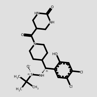 CC(C)(C)[S@+]([O-])N[C@@H](c1cc(Cl)c(Cl)cc1O)C1CCN(C(=O)C2CNC(=O)NC2)CC1